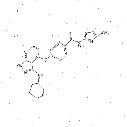 Cc1csc(NC(=O)c2ccc(Oc3ccnc4[nH]nc(N[C@@H]5CCCNC5)c34)cc2)n1